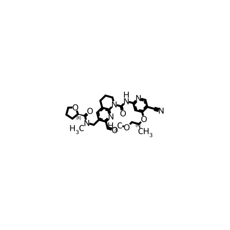 COC[C@@H](C)Oc1cc(NC(=O)N2CCCc3cc(CN(C)C(=O)[C@H]4CCCO4)c(C=O)nc32)ncc1C#N